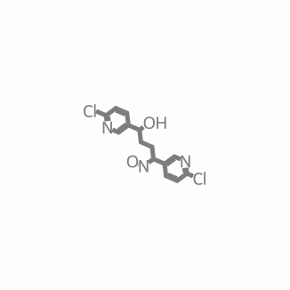 O=NC(CCC(O)c1ccc(Cl)nc1)c1ccc(Cl)nc1